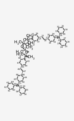 C[Si](C)(O[Si](C)(C)O[Si](C)(C)c1ccc(/C=C/c2ccc(N(c3ccccc3)c3ccccc3)cc2)cc1)O[Si](C)(C)c1ccc(/C=C/c2ccc(N(c3ccccc3)c3ccccc3)cc2)cc1